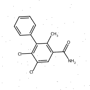 Cc1c(C(N)=O)cc(Cl)c(Cl)c1-c1ccccc1